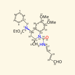 CCOC(=O)N(Cc1ccccc1)[C@@H]1C[C@H](C)N(C(=O)NC=CC=CC=O)c2cc(OC)c(OC)cc21